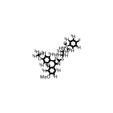 [3H]c1c([3H])c(S(=O)(=O)NC([3H])([3H])C([3H])([3H])Sc2nc(-c3c([3H])c([3H])c(OC)c([3H])c3[3H])c(-c3c([3H])c([3H])c(OC([3H])([3H])[3H])c([3H])c3[3H])n2[3H])c([3H])c([3H])c1F